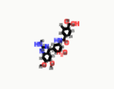 CNc1nc(-c2cccc(NC(=O)c3ccc(C(=O)O)c(C)c3)c2)c2cc(OC)c(OC)cc2n1.O